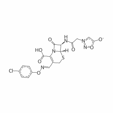 O=C(C[n+]1cc([O-])on1)N[C@@H]1C(=O)N2C(C(=O)O)=C(C=NOc3ccc(Cl)cc3)CS[C@@H]12